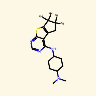 [2H]C1([2H])Cc2c(sc3ncnc(NC4CCC(N(C)C)CC4)c23)C1([2H])[2H]